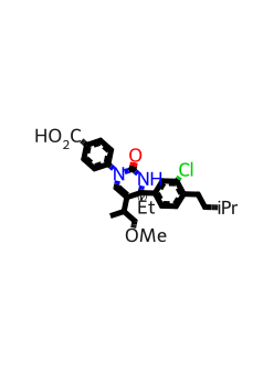 CC[C@@]1(c2ccc(CCC(C)C)c(Cl)c2)NC(=O)N(c2ccc(C(=O)O)cc2)C=C1C(C)COC